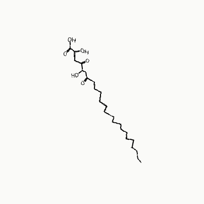 CCCCCCCCCCCCCCCCCC(=O)CC(O)C(=O)CC(O)C(=O)O